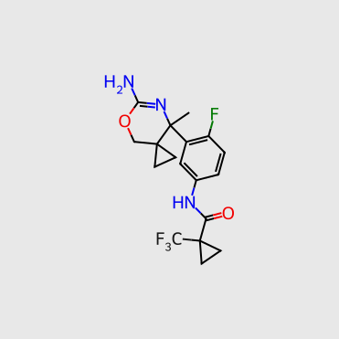 CC1(c2cc(NC(=O)C3(C(F)(F)F)CC3)ccc2F)N=C(N)OCC12CC2